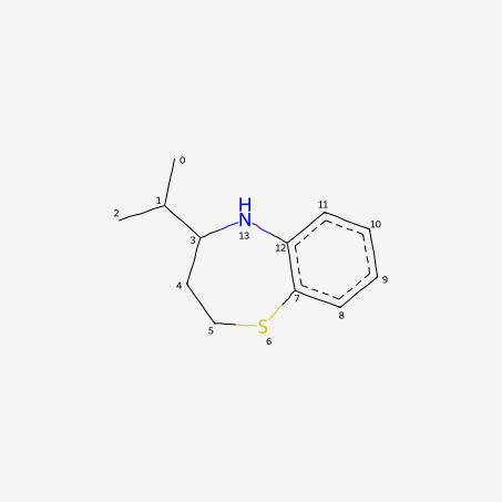 CC(C)C1CCSc2ccccc2N1